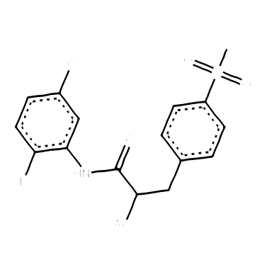 CCS(=O)(=O)c1ccc(CC(C(C)=O)C(=O)Nc2cc(O)ccc2F)cc1